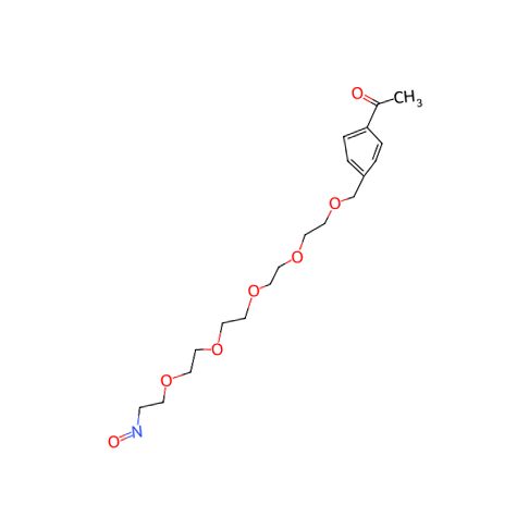 CC(=O)c1ccc(COCCOCCOCCOCCOCCN=O)cc1